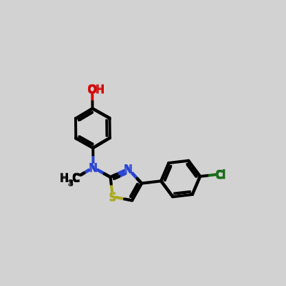 CN(c1ccc(O)cc1)c1nc(-c2ccc(Cl)cc2)cs1